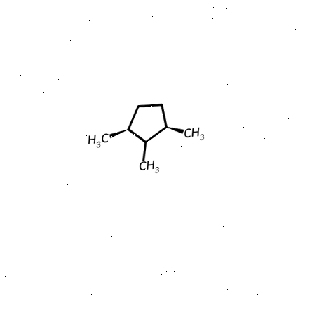 CC1[C@H](C)CC[C@@H]1C